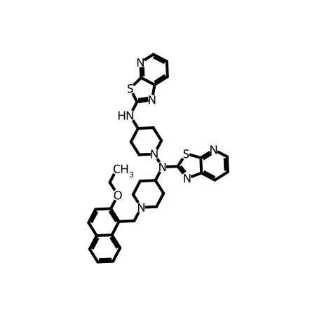 CCOc1ccc2ccccc2c1CN1CCC(N(c2nc3cccnc3s2)N2CCC(Nc3nc4cccnc4s3)CC2)CC1